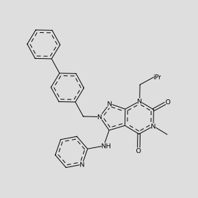 CC(C)Cn1c(=O)n(C)c(=O)c2c(Nc3ccccn3)n(Cc3ccc(-c4ccccc4)cc3)nc21